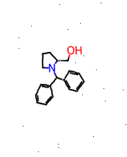 OC[C@@H]1CCCN1C(c1ccccc1)c1ccccc1